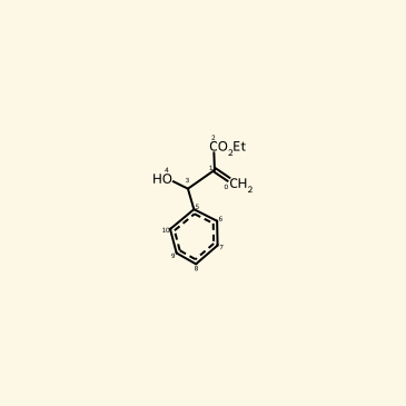 C=C(C(=O)OCC)C(O)c1ccccc1